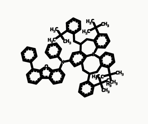 CC(C)(C)c1ccccc1CC1Cc2c(cccc2C(C)(C)C)B2c3cccc(C(C)(C)C)c3CC(c3ccccc3C(C)(C)C)Cc3cc(N(c4ccccc4)c4cccc5c4oc4c(-c6ccccc6)cccc45)cc1c32